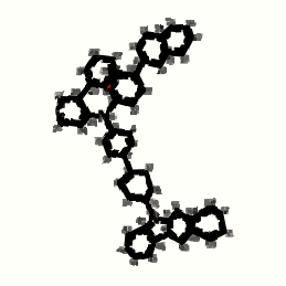 C1=C(c2ccc(N(c3ccc(-c4ccc5ccccc5c4)cc3)c3ccccc3-c3ccccc3)cc2)CCC(n2c3ccccc3c3cc4ccccc4cc32)=C1